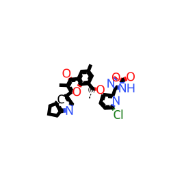 Cc1cc([C@@H](C)Oc2ccc(Cl)nc2-c2noc(=O)[nH]2)c2oc(-c3cnc4c(c3)CCC4)c(C)c(=O)c2c1